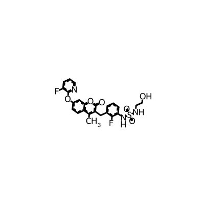 Cc1c(Cc2cccc(NS(=O)(=O)NCCO)c2F)c(=O)oc2cc(Oc3ncccc3F)ccc12